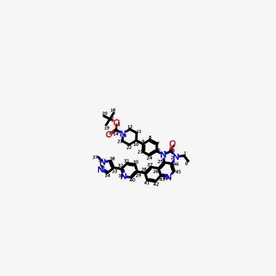 CCn1c(=O)n(-c2ccc(C3CCN(C(=O)OC(C)(C)C)CC3)cc2)c2c3cc(-c4ccc(-c5cnn(C)c5)nc4)ccc3ncc21